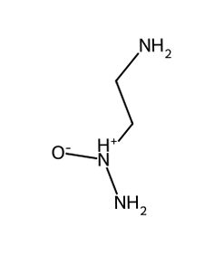 NCC[NH+](N)[O-]